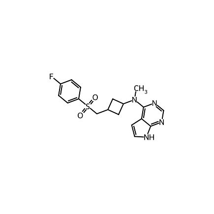 CN(c1ncnc2[nH]ccc12)C1CC(CS(=O)(=O)c2ccc(F)cc2)C1